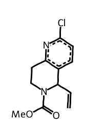 C=CC1c2ccc(Cl)nc2CCN1C(=O)OC